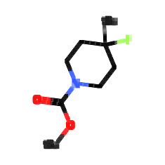 CC(C)(C)OC(=O)N1CCC(F)(C(C)(C)C)CC1